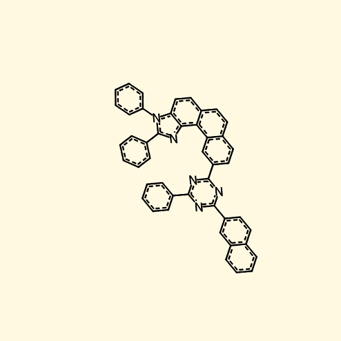 c1ccc(-c2nc(-c3ccc4ccccc4c3)nc(-c3ccc4ccc5ccc6c(nc(-c7ccccc7)n6-c6ccccc6)c5c4c3)n2)cc1